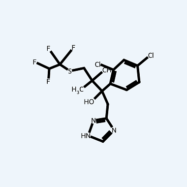 CC(C)(CSC(F)(F)C(F)F)C(O)(Cc1nc[nH]n1)c1ccc(Cl)cc1Cl